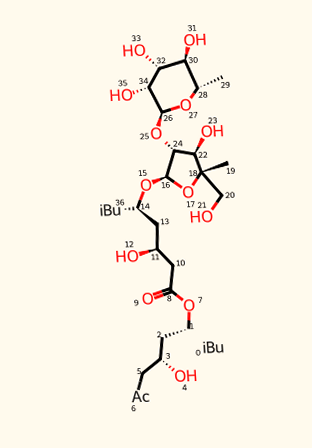 CC[C@H](C)[C@H](C[C@H](O)CC(C)=O)OC(=O)C[C@@H](O)C[C@H](O[C@@H]1O[C@@](C)(CO)[C@H](O)[C@H]1O[C@@H]1O[C@@H](C)[C@H](O)[C@@H](O)[C@H]1O)[C@@H](C)CC